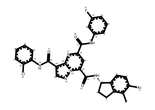 CC(=O)c1ccc2c(c1C)CC[C@@H]2NC(=O)c1cc(C(=O)Nc2cccc(F)c2)nc2c(C(=O)Nc3ccccc3Cl)cnn12